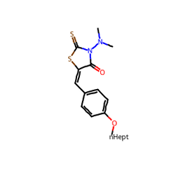 CCCCCCCOc1ccc(C=C2SC(=S)N(N(C)C)C2=O)cc1